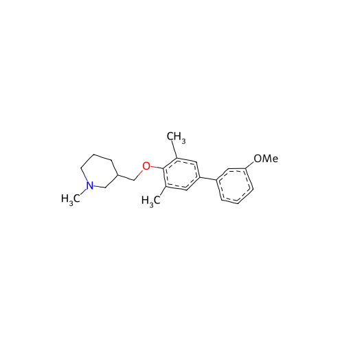 COc1cccc(-c2cc(C)c(OCC3CCCN(C)C3)c(C)c2)c1